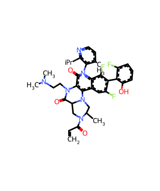 C=CC(=O)N1CC2C(=O)N(CCN(C)C)c3c(c4cc(F)c(-c5c(O)cccc5F)c(F)c4n(-c4c(C)ccnc4C(C)C)c3=O)N2CC1C